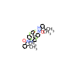 CC(C)c1ccccc1C(=O)Nc1ccc(F)[c]([Ti]([C]2=CC=CC2)([C]2=CC=CC2)[c]2c(F)ccc(NC(=O)c3ccccc3C(C)C)c2F)c1F